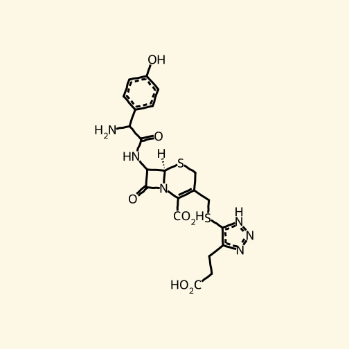 NC(C(=O)NC1C(=O)N2C(C(=O)O)=C(CSc3[nH]nnc3CCC(=O)O)CS[C@H]12)c1ccc(O)cc1